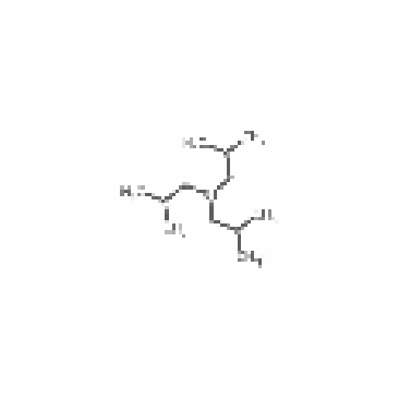 CC(C)[CH2][Sn+]([CH2]C(C)C)[CH2]C(C)C.[F-]